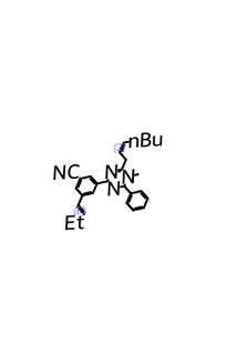 CC/C=C/c1cc(C#N)cc(C2=NC(c3ccccc3)N(C)C(C/C=C\CCCC)=N2)c1